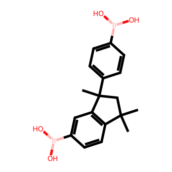 CC1(C)CC(C)(c2ccc(B(O)O)cc2)c2cc(B(O)O)ccc21